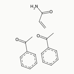 C=CC(N)=O.CC(=O)c1ccccc1.CC(=O)c1ccccc1